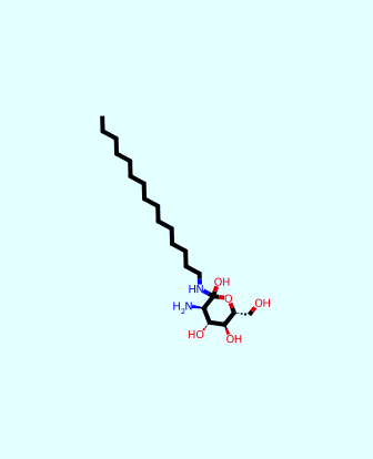 CCCCCCCCCCCCCCCNC1(O)O[C@H](CO)[C@@H](O)[C@H](O)[C@H]1N